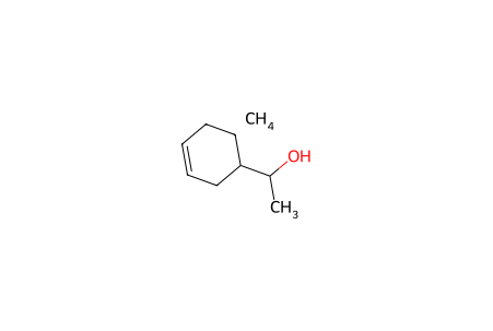 C.CC(O)C1CC=CCC1